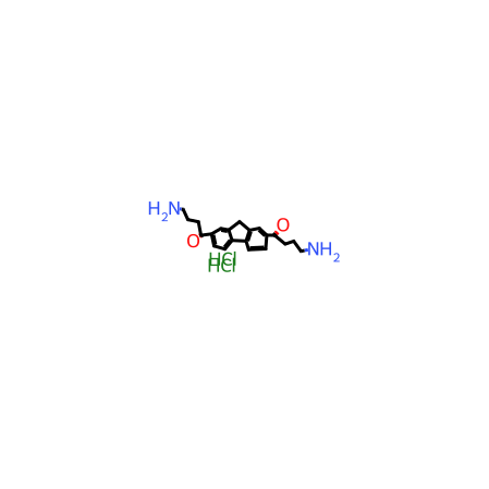 Cl.Cl.NCCCC(=O)c1ccc2c(c1)Cc1cc(C(=O)CCCN)ccc1-2